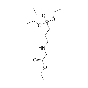 CCOC(=O)CNCCC[Si](OCC)(OCC)OCC